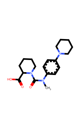 CN(C(=O)N1CCCCC1C(=O)O)c1ccc(N2CCCCC2)cc1